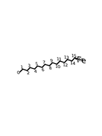 CCCCCCCCCCCCCCC[CH]=[Fe]